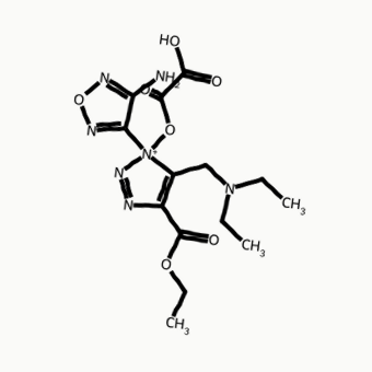 CCOC(=O)C1=C(CN(CC)CC)[N+](OC(=O)C(=O)O)(c2nonc2N)N=N1